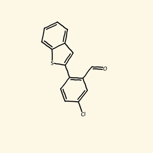 O=Cc1cc(Cl)ccc1-c1cc2ccccc2s1